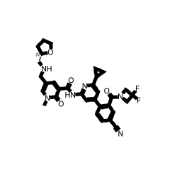 Cn1cc(CNC[C@@H]2CCCO2)cc(C(=O)Nc2cc(-c3ccc(C#N)cc3C(=O)N3CC(F)(F)C3)cc(C3CC3)n2)c1=O